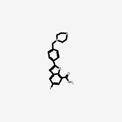 NC(=O)c1cc(F)cc2cc(-c3ccc(CN4CCSCC4)cc3)oc12